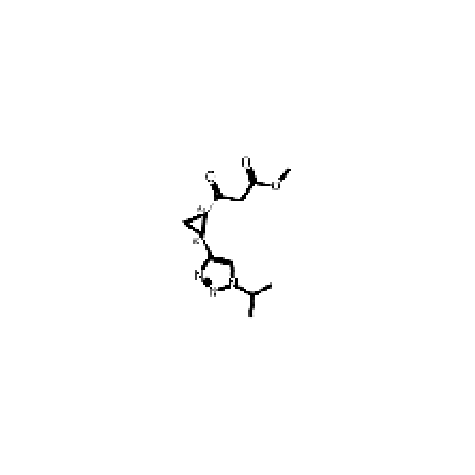 COC(=O)CC(=O)[C@H]1C[C@@H]1c1cn(C(C)C)nn1